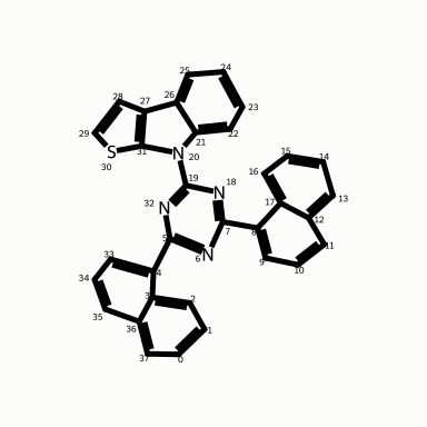 c1ccc2c(-c3nc(-c4cccc5ccccc45)nc(-n4c5ccccc5c5ccsc54)n3)cccc2c1